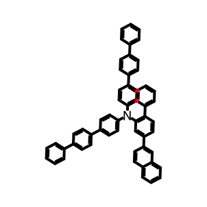 c1ccc(-c2ccc(-c3ccc(N(c4ccc(-c5ccc(-c6ccccc6)cc5)cc4)c4cc(-c5ccc6ccccc6c5)ccc4-c4ccccc4)cc3)cc2)cc1